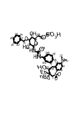 CCCC[C@]1(CC)CS(=O)(=O)c2ccc(N(C)C)cc2[C@@H](c2cccc(NC(=O)NC3O[C@H](COS(=O)(=O)O)[C@@H](O)[C@H](OCc4ccccc4)[C@H]3O)c2)[C@H]1O